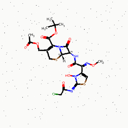 CON=C(C(=O)N[C@@H]1C(=O)N2C(C(=O)OC(C)(C)C)=C(COC(C)=O)CS[C@@H]12)c1csc(=NC(=O)CCl)n1O